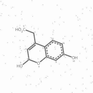 O=C(O)CC1=CC(O)Oc2cc(O)ccc21